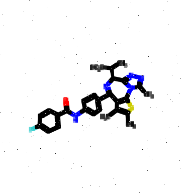 Cc1sc2c(c1C)C(c1ccc(NC(=O)c3ccc(F)cc3)cc1)=N[C@@H](C(C)C(=O)O)c1nnc(C)n1-2